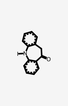 O=C1Cc2ccccc2N(I)c2ccccc21